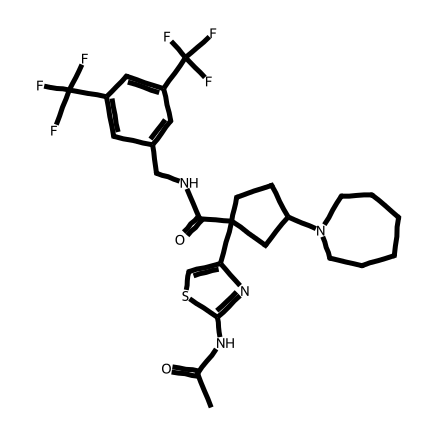 CC(=O)Nc1nc(C2(C(=O)NCc3cc(C(F)(F)F)cc(C(F)(F)F)c3)CCC(N3CCCCCC3)C2)cs1